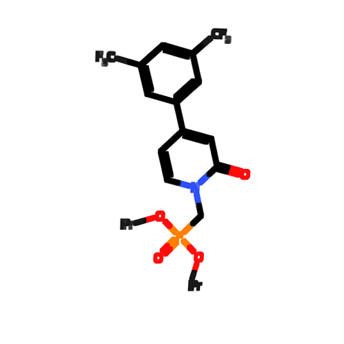 CC(C)OP(=O)(Cn1ccc(-c2cc(C(F)(F)F)cc(C(F)(F)F)c2)cc1=O)OC(C)C